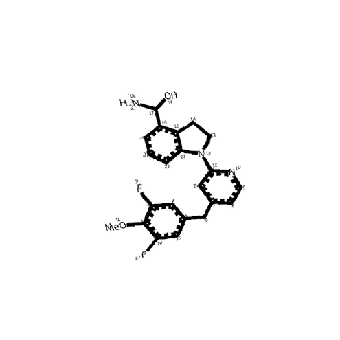 COc1c(F)cc(Cc2ccnc(N3CCc4c(C(N)O)cccc43)c2)cc1F